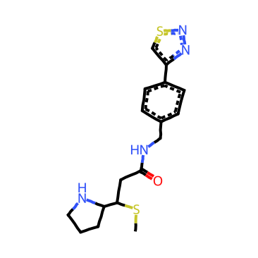 CSC(CC(=O)NCc1ccc(-c2csnn2)cc1)C1CCCN1